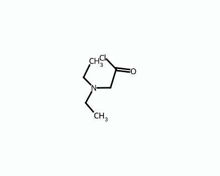 CCN(CC)CC(=O)Cl